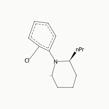 CCC[C@H]1CCC[CH]N1c1ccccc1Cl